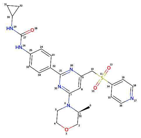 C[C@H]1COCCN1c1cc(CS(=O)(=O)c2ccncc2)nc(-c2ccc(NC(=O)NC3CC3)cc2)n1